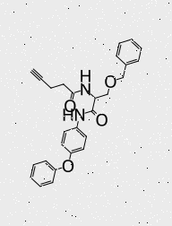 C#CCCC(=O)NC(COCc1ccccc1)C(=O)Nc1ccc(Oc2ccccc2)cc1